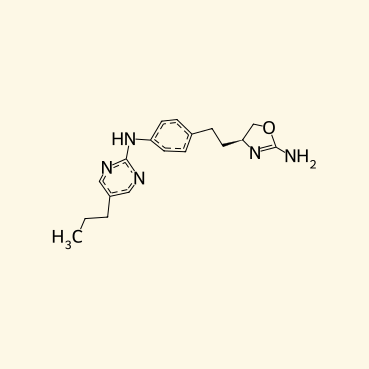 CCCc1cnc(Nc2ccc(CC[C@H]3COC(N)=N3)cc2)nc1